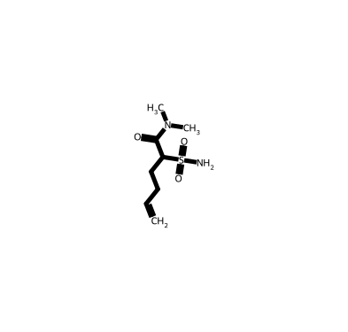 C=CCCC(C(=O)N(C)C)S(N)(=O)=O